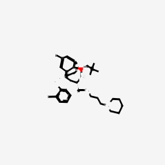 CC(C)(C)C[C@H]1N[C@@H](C(=O)NCCCN2CCCCC2)[C@H](c2cccc(Cl)c2F)[C@@H]2C(=O)NC3=CC(Cl)=CC2C31